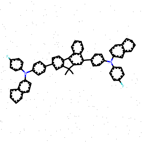 CC1(C)c2cc(-c3ccc(N(c4ccc(F)cc4)c4ccc5ccccc5c4)cc3)ccc2-c2c1cc(-c1ccc(N(c3ccc(F)cc3)c3ccc4ccccc4c3)cc1)c1ccccc21